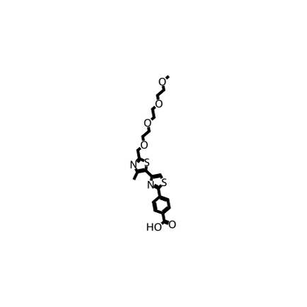 COCCOCCOCCOCc1nc(C)c(-c2csc(-c3ccc(C(=O)O)cc3)n2)s1